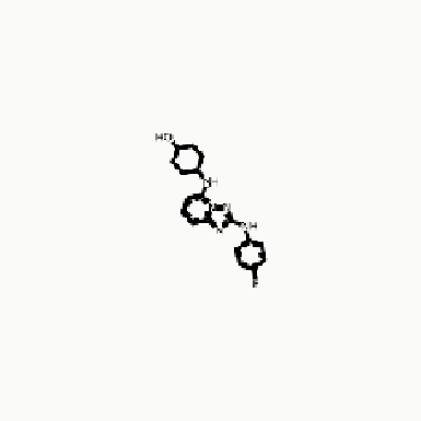 OC1CCC(Nc2cccc3nc(Nc4ccc(F)cc4)nn23)CC1